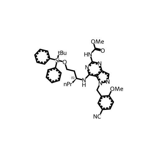 CCC[C@@H](CCO[Si](c1ccccc1)(c1ccccc1)C(C)(C)C)Nc1nc(NC(=O)OC)nc2cnn(Cc3cc(C#N)ccc3OC)c12